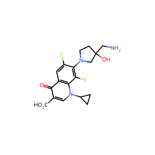 NCC1(O)CCN(c2c(F)cc3c(=O)c(C(=O)O)cn(C4CC4)c3c2F)C1